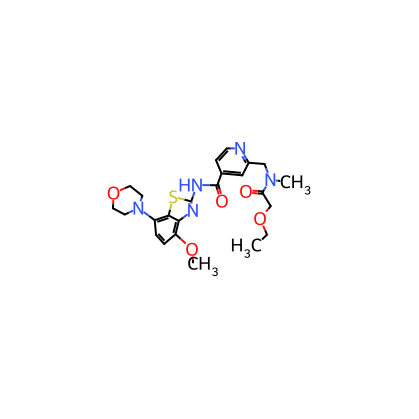 CCOCC(=O)N(C)Cc1cc(C(=O)Nc2nc3c(OC)ccc(N4CCOCC4)c3s2)ccn1